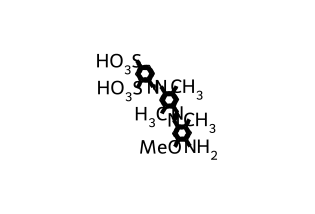 COc1cc(N=Nc2cc(C)c(N=Nc3ccc(S(=O)(=O)O)cc3S(=O)(=O)O)cc2C)c(C)cc1N